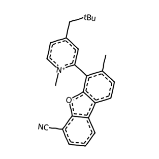 Cc1ccc2c(oc3c(C#N)cccc32)c1-c1cc(CC(C)(C)C)cc[n+]1C